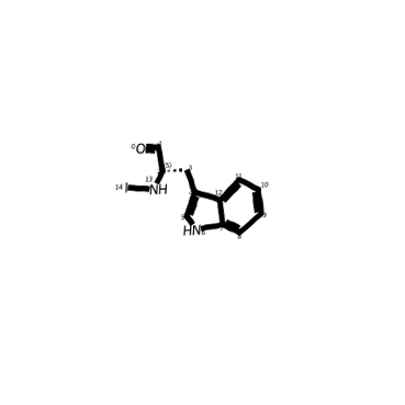 O=[C][C@H](Cc1c[nH]c2ccccc12)NI